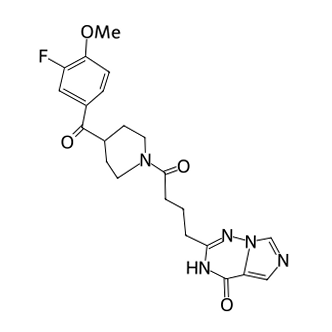 COc1ccc(C(=O)C2CCN(C(=O)CCCc3nn4cncc4c(=O)[nH]3)CC2)cc1F